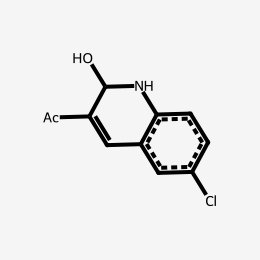 CC(=O)C1=Cc2cc(Cl)ccc2NC1O